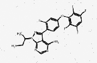 CC(CN)n1nc(-c2ccc(Oc3c(F)c(F)cc(F)c3F)cc2F)c2c(N)ncnc21